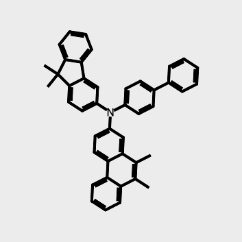 Cc1c(C)c2cc(N(c3ccc(-c4ccccc4)cc3)c3ccc4c(c3)-c3ccccc3C4(C)C)ccc2c2ccccc12